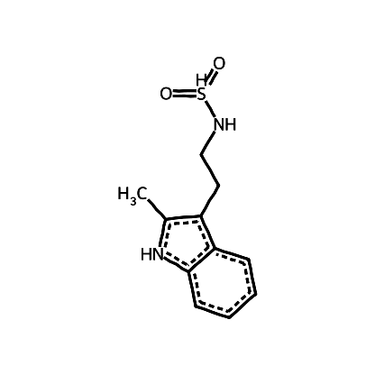 Cc1[nH]c2ccccc2c1CCN[SH](=O)=O